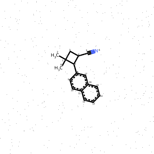 CC1(C)CC(C#N)C1c1ccc2ccccc2c1